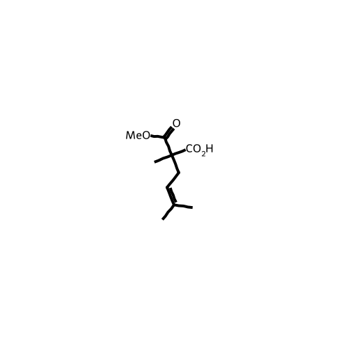 COC(=O)C(C)(CC=C(C)C)C(=O)O